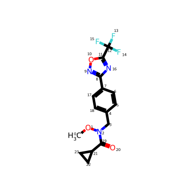 CON(Cc1ccc(-c2noc(C(F)(F)F)n2)cc1)C(=O)C1CC1